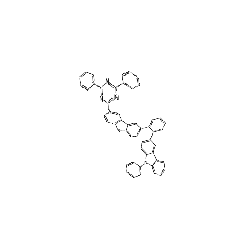 c1ccc(-c2nc(-c3ccccc3)nc(-c3ccc4sc5ccc(-c6ccccc6-c6ccc7c(c6)c6ccccc6n7-c6ccccc6)cc5c4c3)n2)cc1